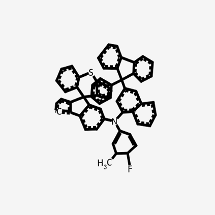 CC1C=C(N(c2ccc3c(c2)C2(c4ccccc4Sc4ccccc42)c2ccccc2-3)c2cc(C3(c4ccccc4)c4ccccc4-c4ccccc43)cc3ccccc23)C=CC1F